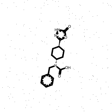 O=C(O)N(Cc1ccccc1)[C@H]1CC[C@H](c2n[nH]c(=O)o2)CC1